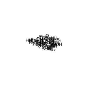 CSCC[C@H](NC(=O)CNC(=O)[C@H](Cc1ccccc1)NC(=O)[C@H](CCCCN)NC(=O)[C@H](CC(C)C)NC(=O)[C@@H](NC(=O)[C@@H](N)Cc1c[nH]cn1)C(C)C)C(=O)N[C@H](C(=O)N[C@@H](CS)C(=O)O)[C@@H](C)O